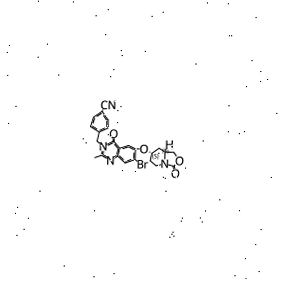 Cc1nc2cc(Br)c(O[C@H]3CCN4C(=O)OC[C@@H]4C3)cc2c(=O)n1Cc1ccc(C#N)cc1